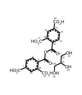 O=C(O)c1ccc(C(=O)OC(=O)c2ccc(C(=O)O)cc2C(=O)O)c(C(=O)O)c1.OCC(O)CO